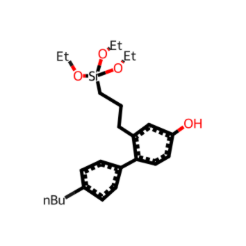 CCCCc1ccc(-c2ccc(O)cc2CCC[Si](OCC)(OCC)OCC)cc1